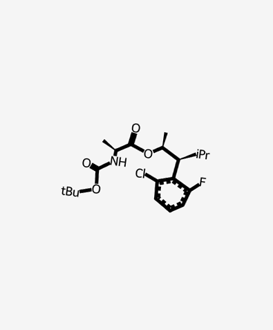 CC(C)[C@@H](c1c(F)cccc1Cl)[C@H](C)OC(=O)[C@H](C)NC(=O)OC(C)(C)C